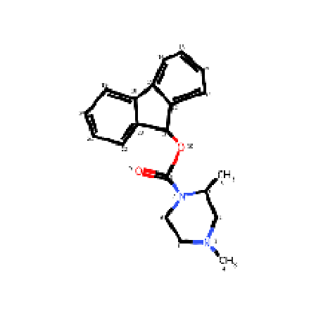 CC1CN(C)CCN1C(=O)OC1c2ccccc2-c2ccccc21